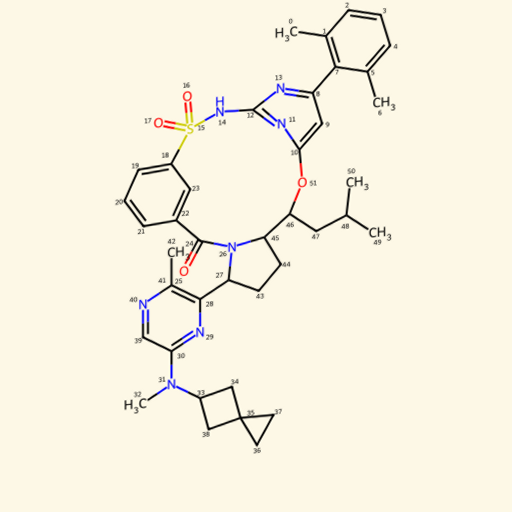 Cc1cccc(C)c1-c1cc2nc(n1)NS(=O)(=O)c1cccc(c1)C(=O)N1C(c3nc(N(C)C4CC5(CC5)C4)cnc3C)CCC1C(CC(C)C)O2